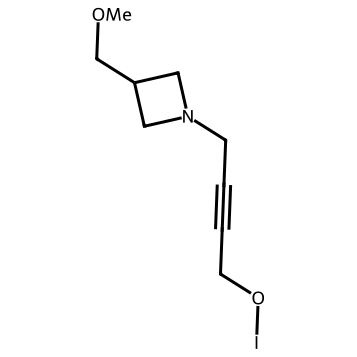 COCC1CN(CC#CCOI)C1